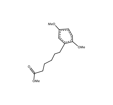 COC(=O)CCCCCc1cc(OC)ccc1OC